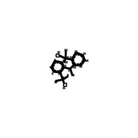 CC(c1ccccc1C(C)(C)Cl)c1ccccc1C(C)(C)Cl